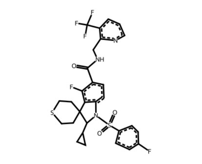 O=C(NCc1ncccc1C(F)(F)F)c1ccc2c(c1F)C1(CCSCC1)C(C1CC1)N2S(=O)(=O)c1ccc(F)cc1